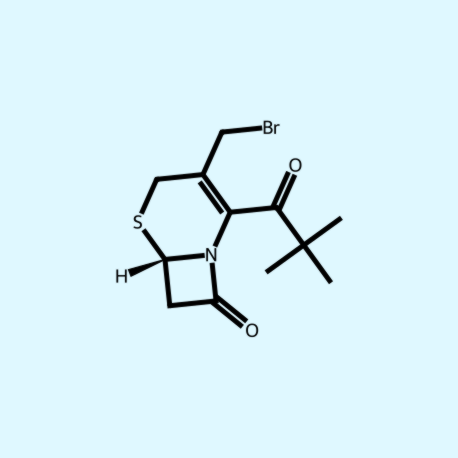 CC(C)(C)C(=O)C1=C(CBr)CS[C@H]2CC(=O)N12